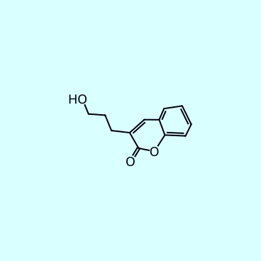 O=c1oc2ccccc2cc1CCCO